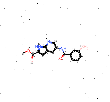 Bc1cccc(C(=O)Nc2cnc3[nH]c(C(=O)OC)cc3c2)c1